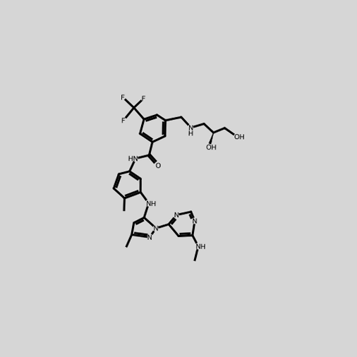 CNc1cc(-n2nc(C)cc2Nc2cc(NC(=O)c3cc(CNC[C@H](O)CO)cc(C(F)(F)F)c3)ccc2C)ncn1